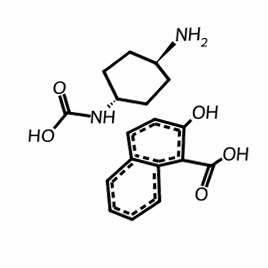 N[C@H]1CC[C@H](NC(=O)O)CC1.O=C(O)c1c(O)ccc2ccccc12